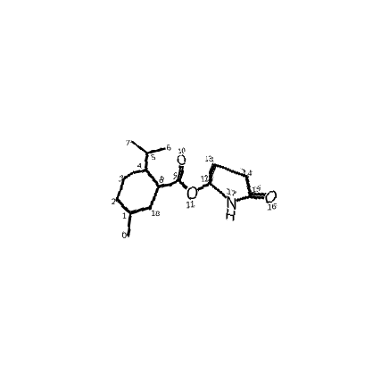 CC1CCC(C(C)C)C(C(=O)OC2CCC(=O)N2)C1